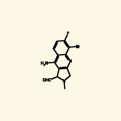 CN1Cc2nc3c(Br)c(F)ccc3c(N)c2C1C=O